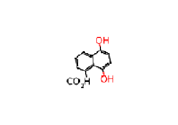 O=C(O)c1cccc2c(O)ccc(O)c12